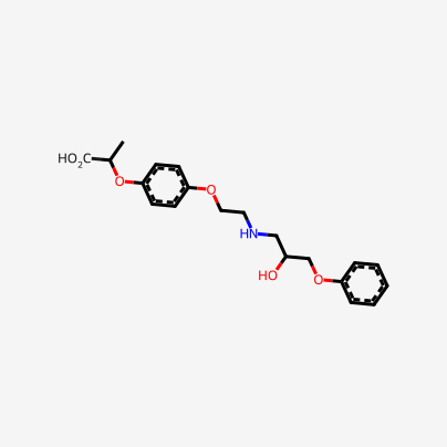 CC(Oc1ccc(OCCNCC(O)COc2ccccc2)cc1)C(=O)O